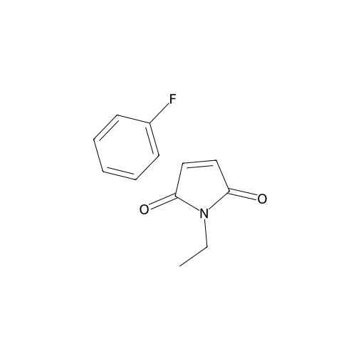 CCN1C(=O)C=CC1=O.Fc1ccccc1